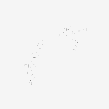 CC(C)(C)[C@H](NC(=O)COCCCCOc1ccc(-c2ccc(N3C(=S)N(c4ccc(C#N)c(C(F)(F)F)c4F)C(=O)C3(C)C)cn2)cc1)C(=O)N1C[C@H](O)C[C@H]1C(=O)Nc1cncs1